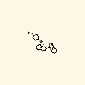 OC1CCC(Nc2cccc3ccc(-c4nnc5ccccn45)nc23)CC1